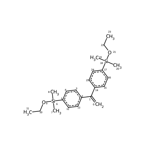 C=C(c1ccc([Si](C)(C)OCC)cc1)c1ccc([Si](C)(C)OCC)cc1